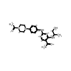 CC(=O)N1CCN(c2ccc(Nc3ncc(C(N)=O)c(NC(C)CO)n3)cc2)CC1